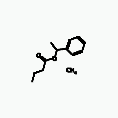 C.CCCC(=O)OC(C)c1ccccc1